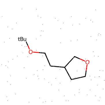 CC(C)(C)OCCC1CCOC1